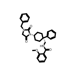 COc1ccccc1C(=O)NC[C@]1(c2ccccc2)CC[C@H](N2C(=O)CN(Cc3ccccc3)C2=O)CC1